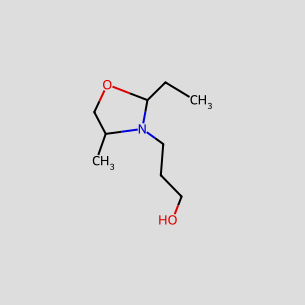 CCC1OCC(C)N1CCCO